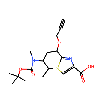 C#CCOC(CC(C(C)C)N(C)C(=O)OC(C)(C)C)c1nc(C(=O)O)cs1